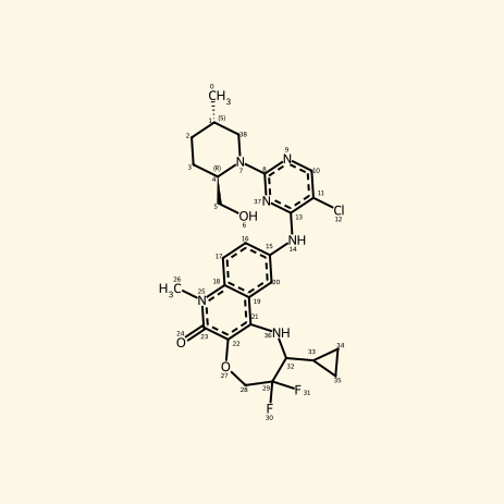 C[C@H]1CC[C@H](CO)N(c2ncc(Cl)c(Nc3ccc4c(c3)c3c(c(=O)n4C)OCC(F)(F)C(C4CC4)N3)n2)C1